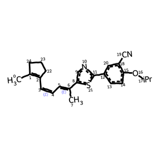 CC1=C(/C=C\C=C(/C)c2cnc(-c3ccc(OC(C)C)c(C#N)c3)s2)CCC1